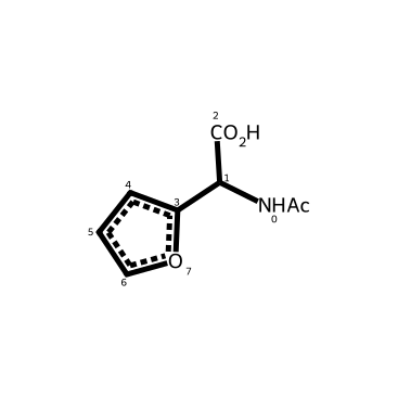 CC(=O)NC(C(=O)O)c1ccco1